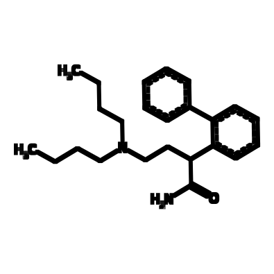 CCCCN(CCCC)CCC(C(N)=O)c1ccccc1-c1ccccc1